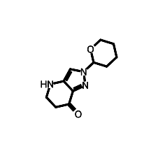 O=C1CCNc2cn(C3CCCCO3)nc21